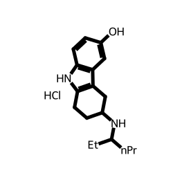 CCCC(CC)NC1CCc2[nH]c3ccc(O)cc3c2C1.Cl